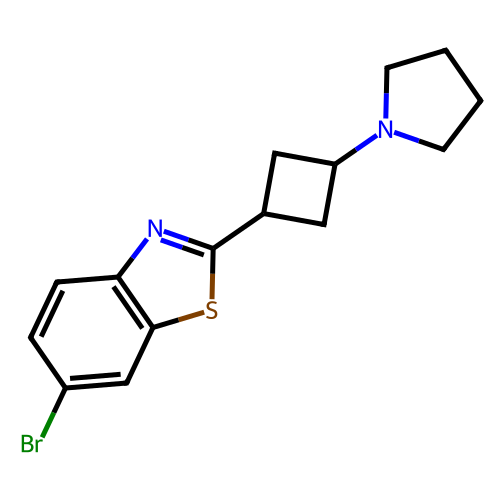 Brc1ccc2nc(C3CC(N4CCCC4)C3)sc2c1